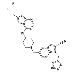 N#Cc1cc2cc(CN3CCC(Nc4ncnc5sc(CC(F)(F)F)cc45)CC3)ccc2n1Cc1nn[nH]n1